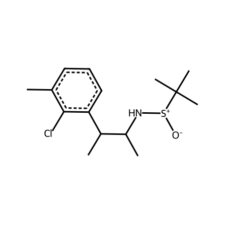 Cc1cccc(C(C)C(C)N[S+]([O-])C(C)(C)C)c1Cl